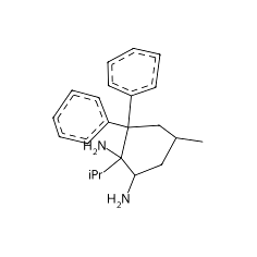 CC1CC(N)C(N)(C(C)C)C(c2ccccc2)(c2ccccc2)C1